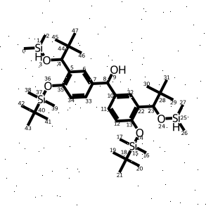 C[SiH](C)OC(c1cc(C(O)c2ccc(O[Si](C)(C)C(C)(C)C)c(C(O[SiH](C)C)C(C)(C)C)c2)ccc1O[Si](C)(C)C(C)(C)C)C(C)(C)C